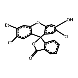 CCc1cc2c(cc1Cl)C1(OC(=O)c3ccccc31)c1cc(Cl)c(O)cc1O2